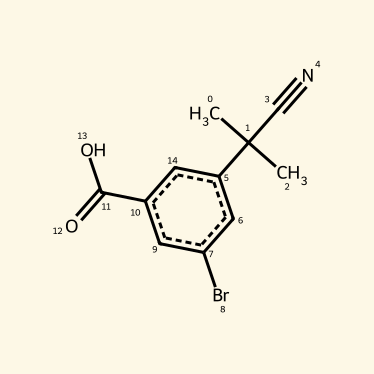 CC(C)(C#N)c1cc(Br)cc(C(=O)O)c1